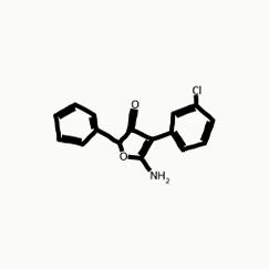 NC1=C(c2cccc(Cl)c2)C(=O)C(c2ccccc2)O1